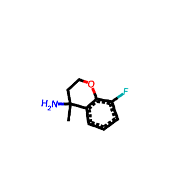 CC1(N)CCOc2c(F)cccc21